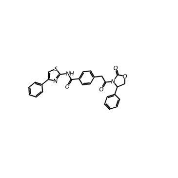 O=C(Nc1nc(-c2ccccc2)cs1)c1ccc(CC(=O)N2C(=O)OCC2c2ccccc2)cc1